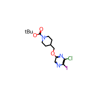 CC(C)(C)OC(=O)N1CCC(COc2cnc(I)c(Cl)n2)CC1